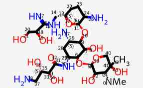 CN[C@@H]1C(O)[C@@H](OC2C(O)C(O[C@H]3O[C@H](CNC(=N)C(O)CO)CCC3N)[C@@H](N)C[C@H]2NC(=O)[C@@H](O)[C@@H](O)CN)OCC1(C)O